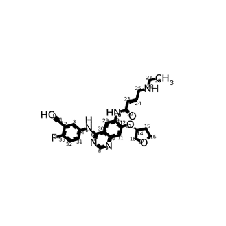 C#Cc1cc(Nc2ncnc3cc(O[C@H]4CCOC4)c(NC(=O)/C=C/CNCC)cc23)ccc1F